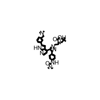 CN(C)Cc1cccc(-c2cc3c(-c4cn(CCN(CC(C)(C)C)C(=O)O)nc4-c4ccc(NC(=O)N(C)C)cc4)ccnc3[nH]2)c1